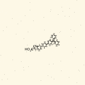 N#C/C(=C\c1ccc(-c2ccc(-c3ccc(N(c4ccccc4)c4ccccc4)cc3)cc2)cc1)C(=O)O